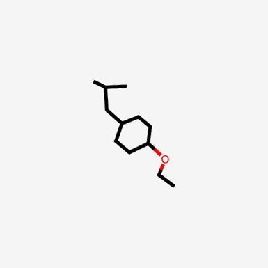 CCOC1CCC(CC(C)C)CC1